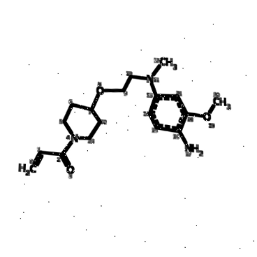 C=CC(=O)N1CCC(OCCN(C)c2ccc(N)c(OC)c2)CC1